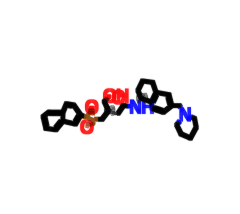 O=C(C[C@@H](CO)CS(=O)(=O)c1ccc2ccccc2c1)N[C@@H]1CCCc2cc(CN3CCCCC3)ccc21